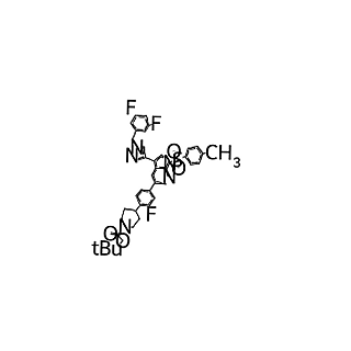 Cc1ccc(S(=O)(=O)n2cc(-c3cnn(Cc4cc(F)cc(F)c4)c3)c3cc(-c4ccc(C5CCN(C(=O)OC(C)(C)C)CC5)c(F)c4)cnc32)cc1